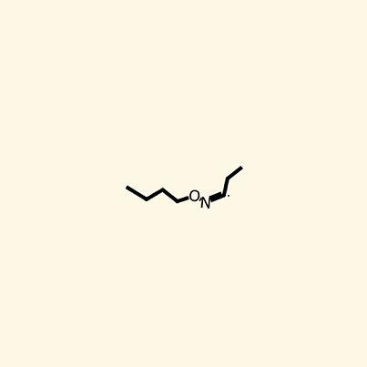 CC/[C]=N\OCCCC